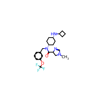 CN1C=NC(C(=O)N(Cc2cccc(OC(F)(F)F)c2)[C@H]2CC[C@@H](NC3CCC3)CC2)C1